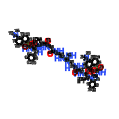 CC(C)[C@H](NC(=O)[C@H](Cc1ccccc1)NS(=O)(=O)c1cccc2c(N(C)C)cccc12)C(=O)NCC(=O)NCCNC(=N)NCCNC(=O)CNC(=O)[C@@H](NC(=O)[C@H](Cc1ccccc1)NS(=O)(=O)c1cccc2c(N(C)C)cccc12)C(C)C